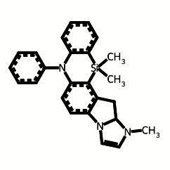 CN1C=CN2c3ccc4c(c3CC12)[Si](C)(C)c1ccccc1N4c1ccccc1